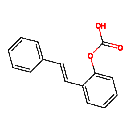 O=C(O)Oc1ccccc1C=Cc1ccccc1